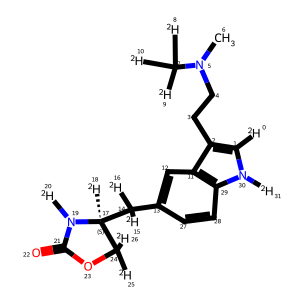 [2H]c1c(CCN(C)C([2H])([2H])[2H])c2cc(C([2H])([2H])[C@]3([2H])N([2H])C(=O)OC3([2H])[2H])ccc2n1[2H]